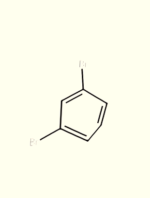 Brc1[c]ccc(Br)[c]1